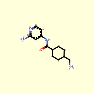 NCC1CCC(C(=O)Nc2ccnc(N)c2)CC1